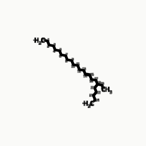 [CH2]CCCCCCCCCCCCCC=CCCC(CC)CCCC[CH2]